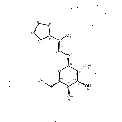 [O-]/[N+](=N\O[C@@H]1O[C@H](CO)[C@H](O)[C@H](O)[C@H]1O)N1CCCC1